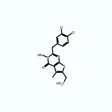 CCCCn1c(Cc2ccc(Cl)c(Cl)c2)nc2sc(CC(=O)O)c(C)c2c1=O